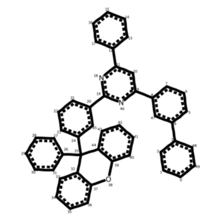 c1ccc(-c2cccc(-c3cc(-c4ccccc4)nc(-c4cccc(C5(c6ccccc6)c6ccccc6Oc6ccccc65)c4)n3)c2)cc1